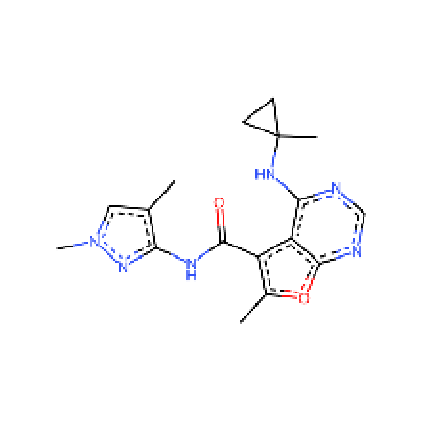 Cc1cn(C)nc1NC(=O)c1c(C)oc2ncnc(NC3(C)CC3)c12